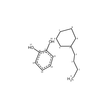 CCCCC1CCCCC1.Oc1ccccc1O